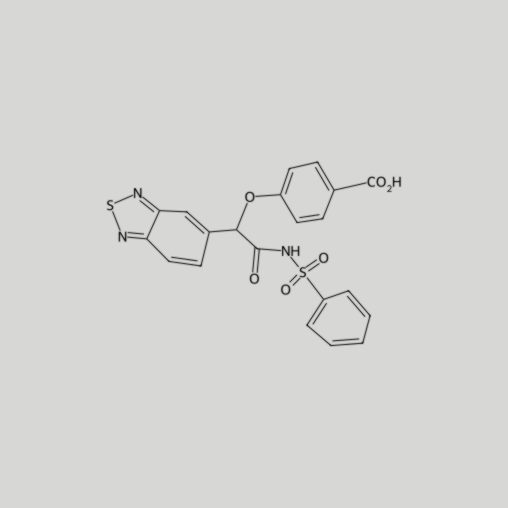 O=C(O)c1ccc(OC(C(=O)NS(=O)(=O)c2ccccc2)c2ccc3nsnc3c2)cc1